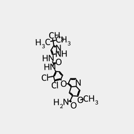 COc1cc2nccc(Oc3ccc(NC(=O)Nc4cc(C(C)(C)C)n[nH]4)c(Cl)c3Cl)c2cc1C(N)=O